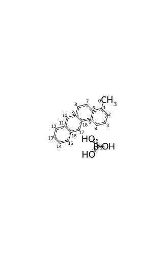 Cc1cccc2c1ccc1cc3ccccc3cc12.OB(O)O